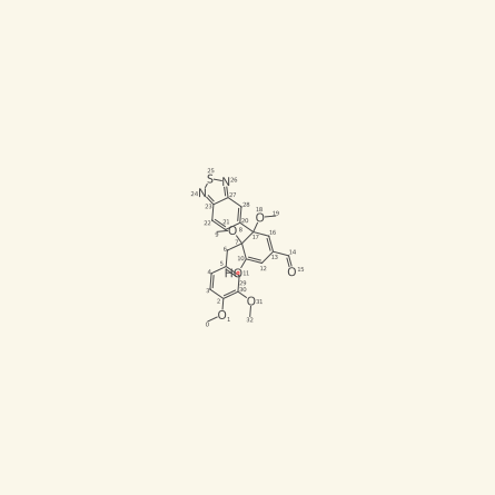 COc1ccc(CC2(OC)C(O)=CC(C=O)=CC2(OC)c2ccc3nsnc3c2)cc1OC